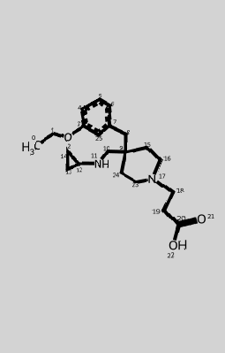 CCOc1cccc(CC2(CNC3CC3)CCN(CCC(=O)O)CC2)c1